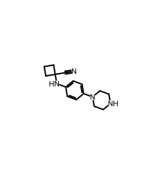 N#CC1(Nc2ccc(N3CCNCC3)cc2)CCC1